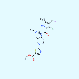 COC(=O)c1cnc(N2CCC(NC(=O)c3[nH]c(C)c(CI)c3Cl)C(CN(C)C)C2)s1